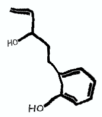 C=CC(O)CCc1ccccc1O